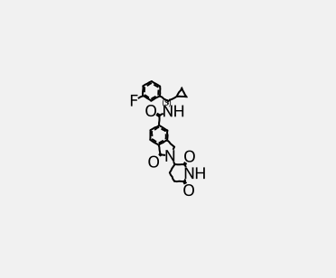 O=C1CCC(N2Cc3cc(C(=O)N[C@H](c4cccc(F)c4)C4CC4)ccc3C2=O)C(=O)N1